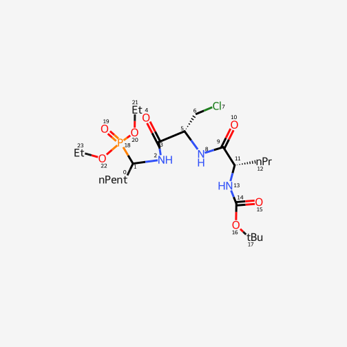 CCCCCC(NC(=O)[C@H](CCl)NC(=O)[C@H](CCC)NC(=O)OC(C)(C)C)P(=O)(OCC)OCC